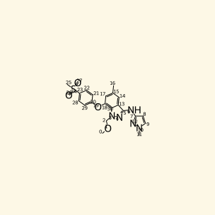 COCn1nc(Nc2ccn(C)n2)c2cc(C)cc(Oc3ccc(S(C)(=O)=O)cc3)c21